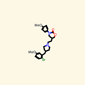 COc1ccc(N2CC(CCN3CCC(Cc4cc(OC)ccc4Br)CC3)COC2=O)cc1